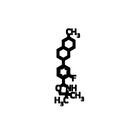 CC1CCC2CC(c3ccc(C4NC(C)(C)CO4)c(F)c3)CCC2C1